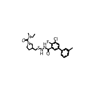 CCN(C)C(=O)N1CCC(CSNNC(=O)c2cc(-c3cccc(C)c3)cc(Cl)c2F)C1